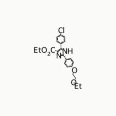 CCOCCOc1ccc(-c2nc(C(=O)OCC)c(-c3ccc(Cl)cc3)[nH]2)cc1